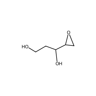 OCCC(O)C1CO1